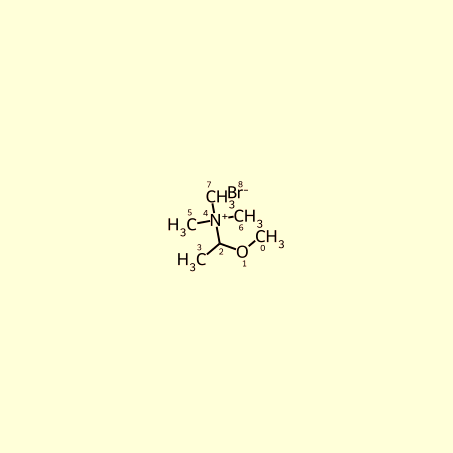 COC(C)[N+](C)(C)C.[Br-]